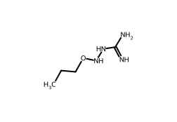 CCCONNC(=N)N